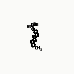 CCCCC(CC)COc1ccc2ccc3c(sc4c5ccc6ccc(C)cc6c5sc34)c2c1